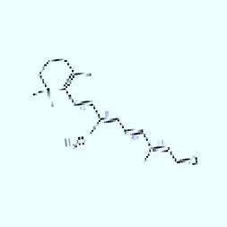 CC1=C(/C=C/C(C)=C/C=C/C(C)=C/C=O)C(C)(C)CCC1.O